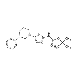 CC(C)(C)OC(=O)Nc1nc(N2CCCC(c3ccccc3)C2)cs1